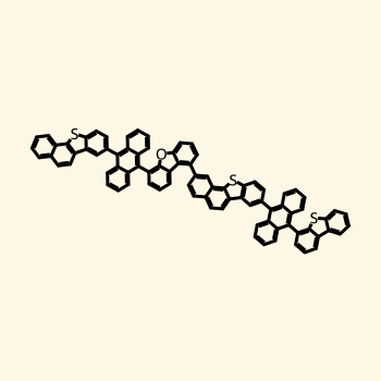 c1ccc2c(c1)ccc1c3cc(-c4c5ccccc5c(-c5cccc6c5oc5cccc(-c7ccc8ccc9c%10cc(-c%11c%12ccccc%12c(-c%12cccc%13c%12sc%12ccccc%12%13)c%12ccccc%11%12)ccc%10sc9c8c7)c56)c5ccccc45)ccc3sc21